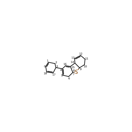 C1=CCC(C2=CCC3SC4CCC=CC4C3=C2)C=C1